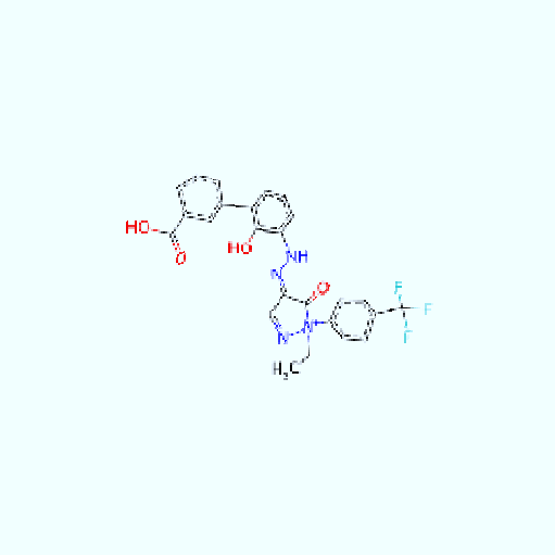 CC[N+]1(c2ccc(C(F)(F)F)cc2)N=CC(=NNc2cccc(-c3cccc(C(=O)O)c3)c2O)C1=O